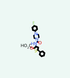 O=C(O)Oc1sc(-c2ccccc2)cc1NC(=O)N1CCN(c2ccc(F)cc2)CC1